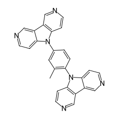 Cc1cc(-n2c3ccncc3c3cnccc32)ccc1-n1c2ccncc2c2cnccc21